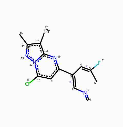 C=N/C=C(\C=C(/C)F)c1cc(Cl)n2nc(C)c(C(C)C)c2n1